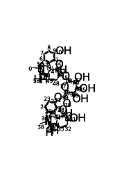 CN1CC[C@]23c4c5ccc(O)c4O[C@H]2[C@@H](O[C@@H]2O[C@H](C(=O)Oc4ccc6c7c4O[C@H]4[C@@H](O)C=C[C@H]8[C@@H](C6)N(C)CC[C@@]784)[C@@H](O)[C@H](O)[C@H]2O)C=C[C@H]3[C@H]1C5